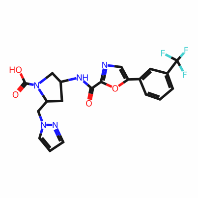 O=C(NC1CC(Cn2cccn2)N(C(=O)O)C1)c1ncc(-c2cccc(C(F)(F)F)c2)o1